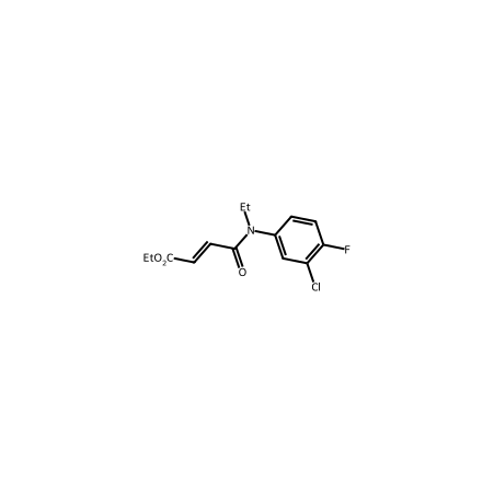 CCOC(=O)/C=C/C(=O)N(CC)c1ccc(F)c(Cl)c1